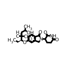 CC[C@H](Oc1ccc2c(c1)CN(C1CCC(=O)NC1=O)C2=O)C(C)(C)CC(C)O